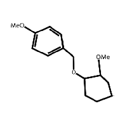 COc1ccc(COC2CC[CH]CC2OC)cc1